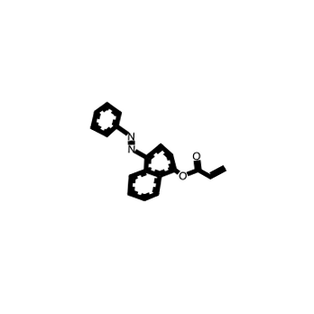 C=CC(=O)Oc1ccc(/N=N/c2ccccc2)c2ccccc12